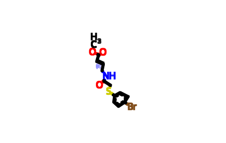 COC(=O)/C=C/CNC(=O)CSc1ccc(Br)cc1